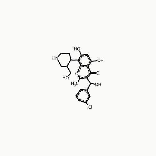 Cc1oc2c(C3CCNCC3CO)c(O)cc(O)c2c(=O)c1C(O)c1cccc(Cl)c1